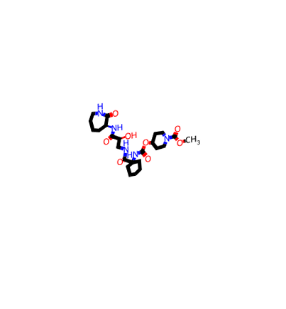 COC(=O)N1CCC(OC(=O)NC2(C(=O)NC[C@H](O)C(=O)N[C@H]3CCCCNC3=O)CCCCC2)CC1